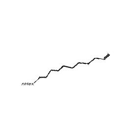 C=CC[CH]CCCCCCCCCCCCC